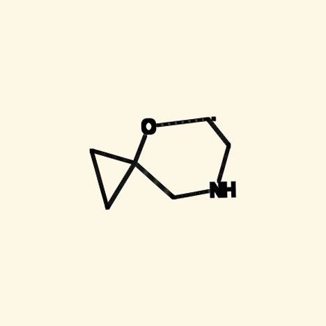 [CH]1CNCC2(CC2)O1